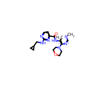 C=N/C=N\C(=C(/C)NC(=O)c1ccnc(NCC2CC2)n1)N1CCOCC1